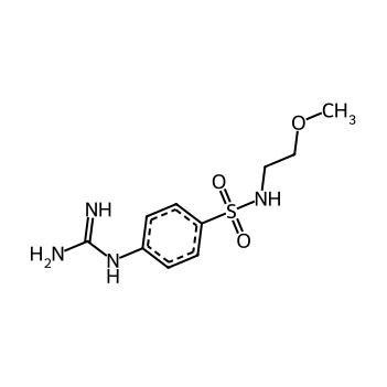 COCCNS(=O)(=O)c1ccc(NC(=N)N)cc1